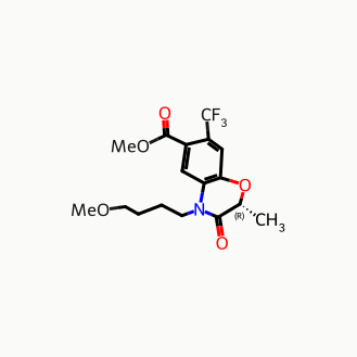 COCCCCN1C(=O)[C@@H](C)Oc2cc(C(F)(F)F)c(C(=O)OC)cc21